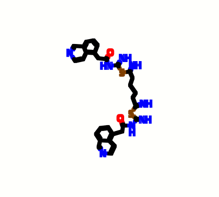 N=C(CCCCC(=N)SC(=N)NC(=O)Cc1cccc2cnccc12)SC(=N)NC(=O)Cc1cccc2cnccc12